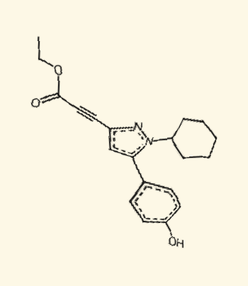 CCOC(=O)C#Cc1cc(-c2ccc(O)cc2)n(C2CCCCC2)n1